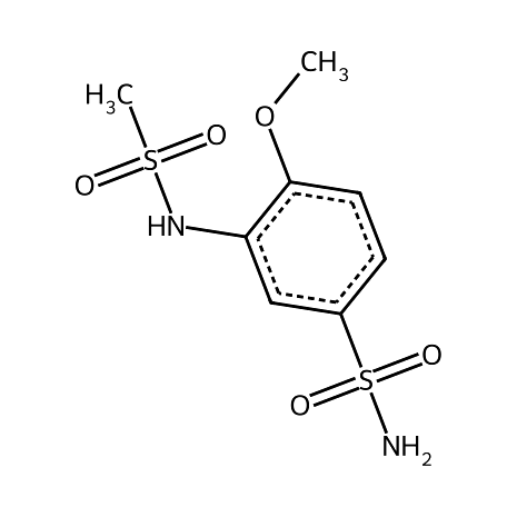 COc1ccc(S(N)(=O)=O)cc1NS(C)(=O)=O